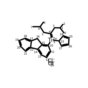 CC(C)C[C](CC(C)C)=[Ti+2]([c]1cccc2c1Cc1ccccc1-2)[CH]1C=CC=C1.[Cl-].[Cl-]